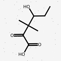 CCC(O)C(C)(C)C(=O)C(=O)O